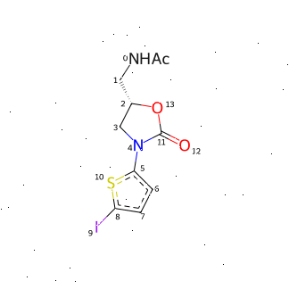 CC(=O)NC[C@H]1CN(c2ccc(I)s2)C(=O)O1